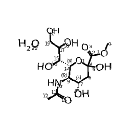 COC(=O)C1(O)C[C@H](O)[C@@H](NC(C)=O)[C@H](C(O)C(O)CO)O1.O